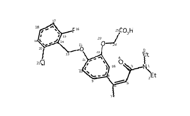 CCN(CC)C(=O)/C=C(/C)c1ccc(OCc2c(F)cccc2Cl)c(OCC(=O)O)c1